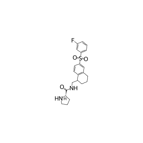 O=C(NCC1CCCc2cc(S(=O)(=O)c3cccc(F)c3)ccc21)[C@H]1CCCN1